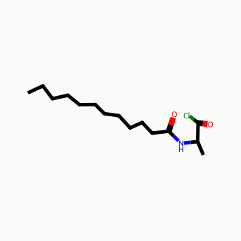 CCCCCCCCCCCC(=O)NC(C)C(=O)Cl